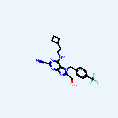 N#Cc1nc(NCCC2CCC2)c2c(n1)nc(CO)n2Cc1ccc(C(F)(F)F)cc1